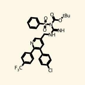 CC(C)(C)OC(=O)N(C(=N)NCc1cnc(-c2ccc(C(F)(F)F)cc2)c(-c2ccc(Cl)cc2)c1)S(=O)(=O)c1ccccc1